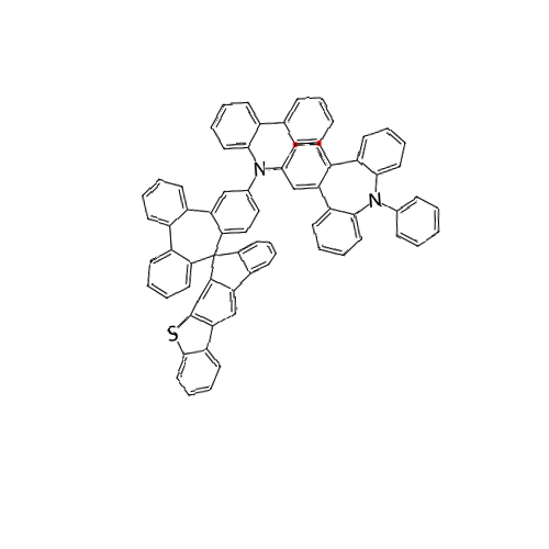 c1ccc(-c2ccccc2N(c2ccc3c(c2)-c2ccccc2N(c2ccccc2)c2ccccc2-3)c2ccc3c(c2)-c2ccccc2-c2ccccc2C32c3ccccc3-c3cc4c(cc32)sc2ccccc24)cc1